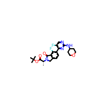 C[C@H](C(=O)OC(C)(C)C)N1Cc2ccc(-c3nc(NC4CCOCC4)ncc3F)c(F)c2C1=O